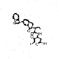 CCC(C(=O)NC(CC(=O)O)C(=O)CF)N1Cc2ccc(-c3cnn4ccccc34)cc2C1=O